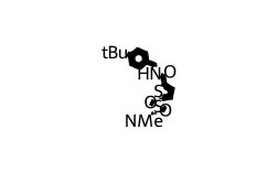 CNCS(=O)(=O)c1ccc(C(=O)NCc2ccc(C(C)(C)C)cc2)s1